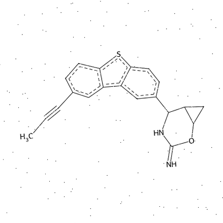 CC#Cc1ccc2sc3ccc(C4NC(=N)OC5CC54)cc3c2c1